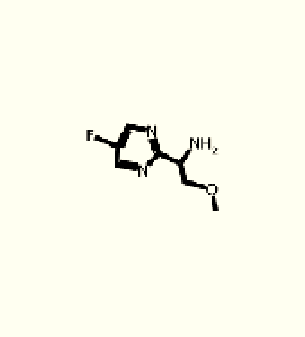 COCC(N)c1ncc(F)cn1